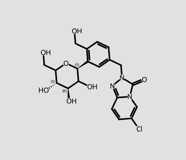 O=c1n(Cc2ccc(CO)c([C@@H]3OC(CO)[C@@H](O)[C@H](O)C3O)c2)nc2ccc(Cl)cn12